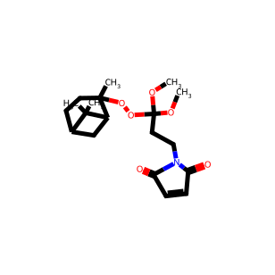 COC(CCN1C(=O)C=CC1=O)(OC)OOC1(C)CCC2CC1C2(C)C